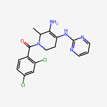 CC1C(N)=C(Nc2ncccn2)CCN1C(=O)c1ccc(Cl)cc1Cl